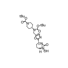 CC(C)(C)OC(=O)N1CCC(N(Cc2nnc([C@@H]3CC[C@H]4CN3C(=O)N4O)o2)C(=O)OC(C)(C)C)CC1